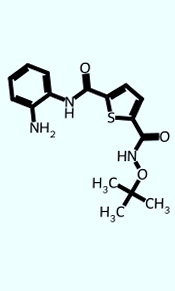 CC(C)(C)ONC(=O)c1ccc(C(=O)Nc2ccccc2N)s1